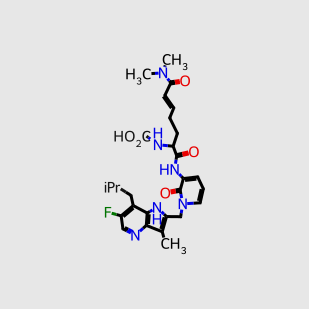 Cc1c(Cn2cccc(NC(=O)C(CC/C=C/C(=O)N(C)C)NC(=O)O)c2=O)[nH]c2c(CC(C)C)c(F)cnc12